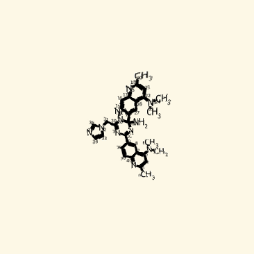 Cc1cc(N(C)C)c2cc(C3=NC(N)(c4ccc5nc(C)cc(N(C)C)c5c4)N(N)C(Cn4ccnc4)=N3)ccc2n1